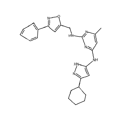 Cc1cc(Nc2cc(C3CCCCC3)n[nH]2)nc(NCc2cc(-c3ccccc3)no2)n1